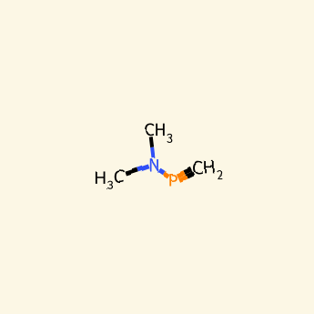 C=PN(C)C